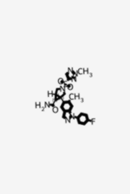 Cc1cc2c(cnn2-c2ccc(F)cc2)cc1[C@]12CN(S(=O)(=O)c3cnn(C)n3)C[C@H]1[C@@H]2C(N)=O